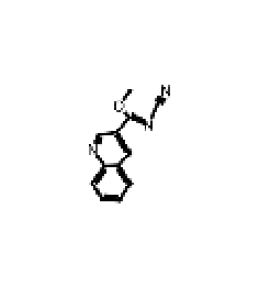 COC(=NC#N)c1cnc2ccccc2c1